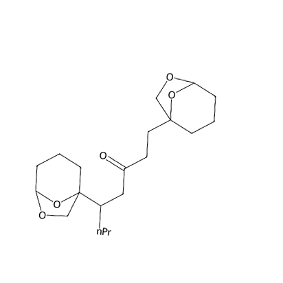 CCCC(CC(=O)CCC12CCCC(OC1)O2)C12CCCC(OC1)O2